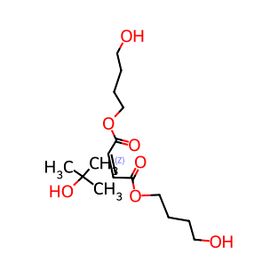 CC(C)(C)O.O=C(/C=C\C(=O)OCCCCO)OCCCCO